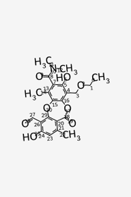 CCOCc1c(O)c(C(=O)N(C)C)c(C)c2c1OC(=O)c1c(C)cc(O)c(C=O)c1O2